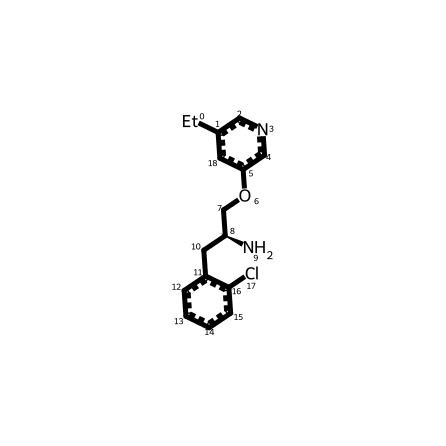 CCc1cncc(OC[C@@H](N)Cc2ccccc2Cl)c1